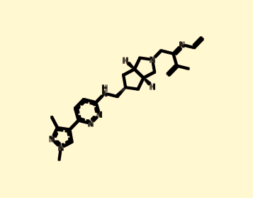 C=C/N=C(/CN1C[C@H]2C[C@H](CNc3ccc(-c4cn(C)nc4C)nn3)C[C@H]2C1)C(=C)C